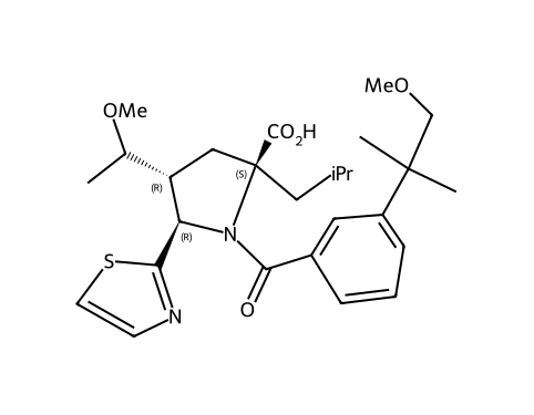 COCC(C)(C)c1cccc(C(=O)N2[C@@H](c3nccs3)[C@H](C(C)OC)C[C@@]2(CC(C)C)C(=O)O)c1